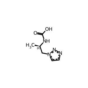 C[C@H](Cn1ccnn1)NC(=O)O